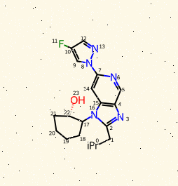 CC(C)Cc1nc2cnc(-n3cc(F)cn3)cc2n1C1CCCC[C@@H]1O